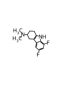 CN(C)C1CCc2[nH]c3c(F)cc(F)cc3c2C1